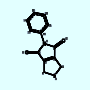 O=C1C2=C(CSC2)C(=O)N1c1ccccc1